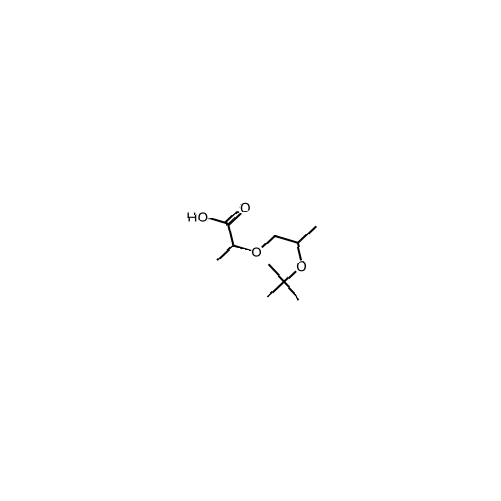 CC(COC(C)C(=O)O)OC(C)(C)C